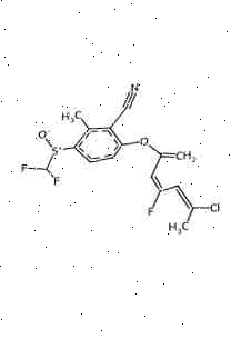 C=C(/C=C(F)\C=C(/C)Cl)Oc1ccc([S+]([O-])C(F)F)c(C)c1C#N